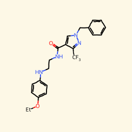 CCOc1ccc(NCCNC(=O)c2cn(Cc3ccccc3)nc2C(F)(F)F)cc1